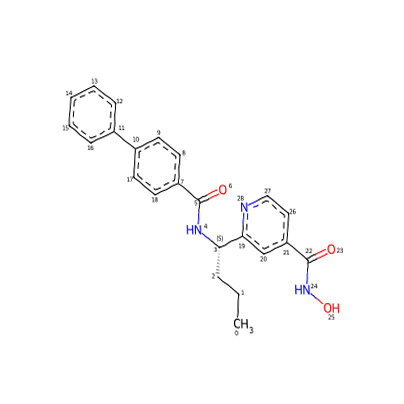 CCC[C@H](NC(=O)c1ccc(-c2ccccc2)cc1)c1cc(C(=O)NO)ccn1